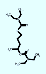 CCN(CC)C(=O)OC(C)CCCSC(=O)N(CC)CC